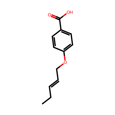 CC/C=C/COc1ccc(C(=O)O)cc1